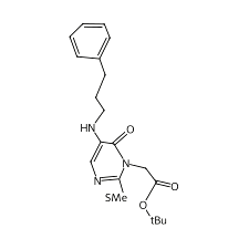 CSc1ncc(NCCCc2ccccc2)c(=O)n1CC(=O)OC(C)(C)C